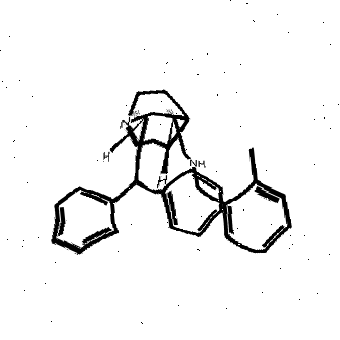 Cc1ccccc1CN[C@H]1C2CCN(CC2)[C@H]1C(c1ccccc1)c1ccccc1